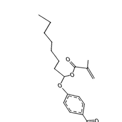 C=C(C)C(=O)OC(CCCCCCC)Oc1ccc(C(C)=O)cc1